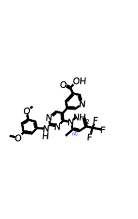 C=C(/C=C(/C)N(N)c1nc(Nc2cc(OC)cc(OC)c2)ncc1-c1cncc(C(=O)O)c1)C(F)(F)F